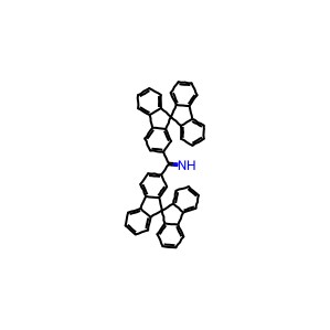 N=C(c1ccc2c(c1)C1(c3ccccc3-c3ccccc31)c1ccccc1-2)c1ccc2c(c1)C1(c3ccccc3-c3ccccc31)c1ccccc1-2